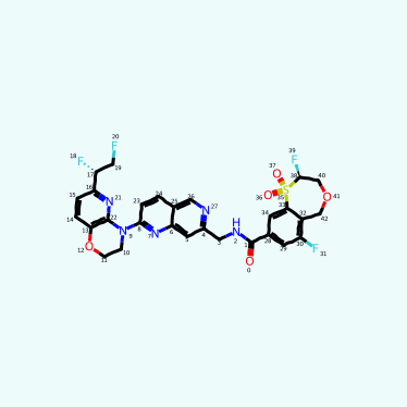 O=C(NCc1cc2nc(N3CCOc4ccc([C@H](F)CF)nc43)ccc2cn1)c1cc(F)c2c(c1)S(=O)(=O)[C@@H](F)COC2